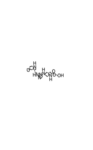 COc1ccc2[nH]cc(CCNc3nccc(Nc4ccc5[nH]c(C(=O)OCCO)cc5c4)n3)c2c1